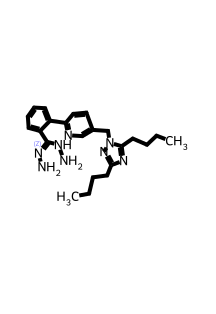 CCCCc1nc(CCCC)n(Cc2ccc(-c3ccccc3/C(=N/N)NN)nc2)n1